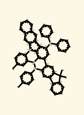 Cc1ccc(N2B3c4cc(C)ccc4-n4c5cc6ccccc6cc5c5c(N(c6ccccc6)c6ccccc6)cc(c3c54)-c3cc4c(cc32)-c2ccccc2C4(C)C)cc1